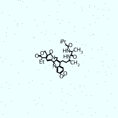 C=C(CCc1c2c(nc3cc4c(cc13)OCO4)-c1cc3c(c(=O)n1C2)COC(=O)[C@@H]3CC)NC(=O)[C@H](C)NC(=O)CC(C)C